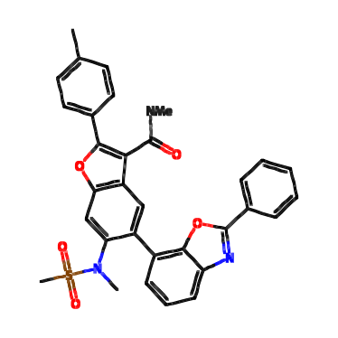 CNC(=O)c1c(-c2ccc(C)cc2)oc2cc(N(C)S(C)(=O)=O)c(-c3cccc4nc(-c5ccccc5)oc34)cc12